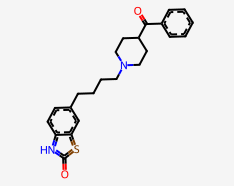 O=C(c1ccccc1)C1CCN(CCCCc2ccc3[nH]c(=O)sc3c2)CC1